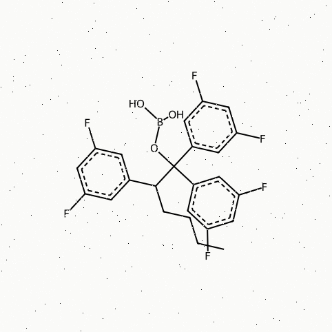 CCCCC(c1cc(F)cc(F)c1)C(OB(O)O)(c1cc(F)cc(F)c1)c1cc(F)cc(F)c1